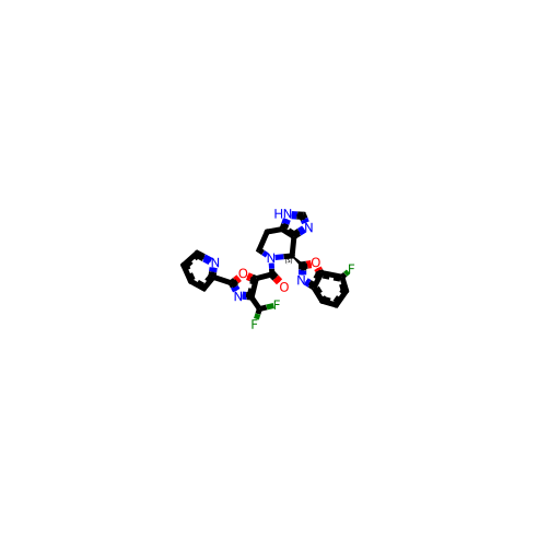 O=C(c1oc(-c2ccccn2)nc1C(F)F)N1CCc2[nH]cnc2[C@H]1c1nc2cccc(F)c2o1